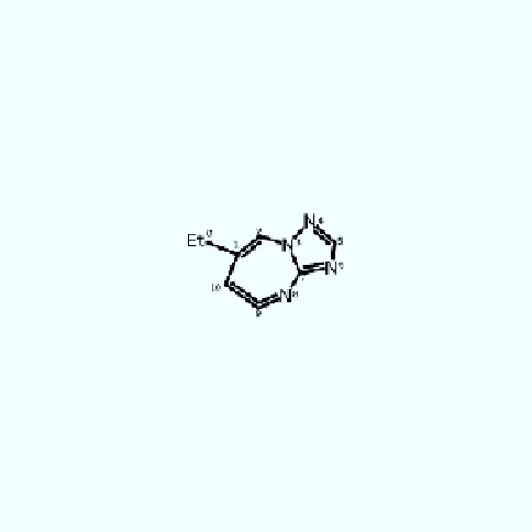 CCC1=Cn2ncnc2N=C=C1